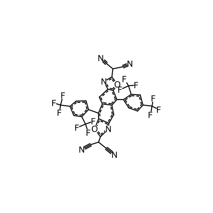 N#CC(C#N)c1nc2cc3c(-c4ccc(C(F)(F)F)cc4C(F)(F)F)c4oc(C(C#N)C#N)nc4cc3c(-c3ccc(C(F)(F)F)cc3C(F)(F)F)c2o1